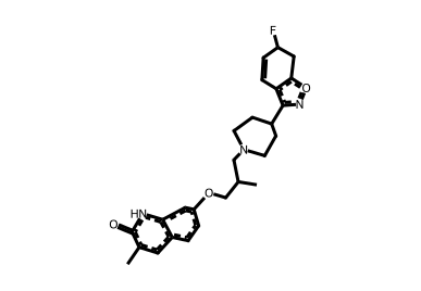 Cc1cc2ccc(OCC(C)CN3CCC(c4noc5c4C=CC(F)C5)CC3)cc2[nH]c1=O